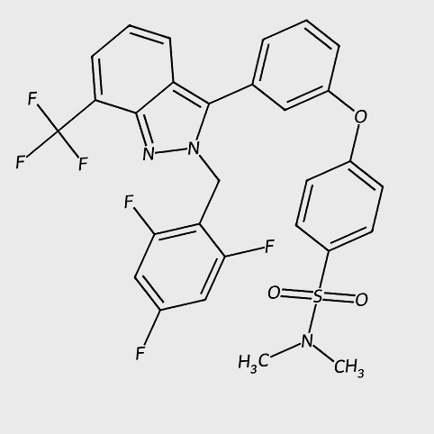 CN(C)S(=O)(=O)c1ccc(Oc2cccc(-c3c4cccc(C(F)(F)F)c4nn3Cc3c(F)cc(F)cc3F)c2)cc1